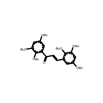 COc1cc(OCC(C)C)cc(C=CC(=O)c2cc(OCC(C)C)cc(OCC(C)C)c2OCC(C)C)c1OCC(C)C